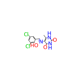 Cc1[nH]c(=O)[nH]c(=O)c1/N=C/c1cc(Cl)cc(Cl)c1O